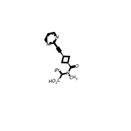 CC(C)C(C(=O)O)N(C)C(=O)[C@H]1C[C@@H](C#Cc2ncccn2)C1